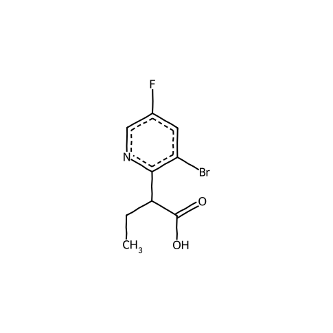 CCC(C(=O)O)c1ncc(F)cc1Br